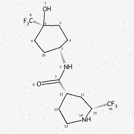 O=C(N[C@H]1CC[C@@](O)(C(F)(F)F)CC1)[C@H]1CCN[C@@H](C(F)(F)F)C1